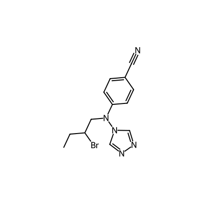 CCC(Br)CN(c1ccc(C#N)cc1)n1cnnc1